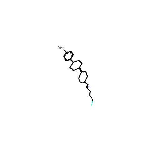 N#Cc1ccc(C2CCC(C3CCC(/C=C/CCCF)CC3)CC2)cc1